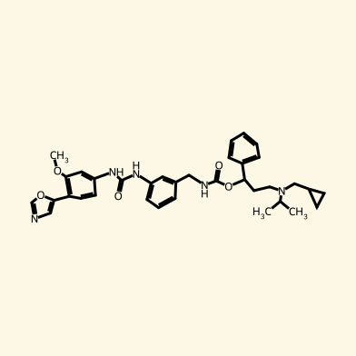 COc1cc(NC(=O)Nc2cccc(CNC(=O)OC(CCN(CC3CC3)C(C)C)c3ccccc3)c2)ccc1-c1cnco1